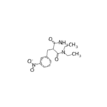 CCN(CC)C(=O)C(Cc1cccc([N+](=O)[O-])c1)C(N)=O